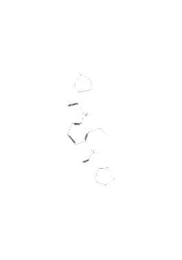 CCc1c(NC(=O)[C@@H]2CCCO2)cccc1NC(=O)[C@@H]1CCCO1